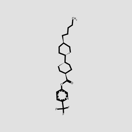 CCCCC[C@H]1CC[C@H]([C@H]2CC[C@H](C(=O)Oc3ccc(C(F)(F)F)nc3)CC2)CC1